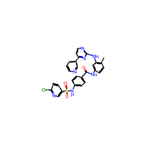 Cc1ccc(NC(=O)c2ccc(NS(=O)(=O)c3ccc(Cl)nc3)cc2)cc1Nc1nccc(-c2cccnc2)n1